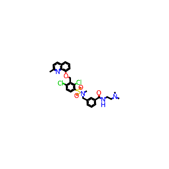 Cc1ccc2cccc(OCc3c(Cl)ccc(S(=O)(=O)N(C)Cc4cccc(C(=O)NCCN(C)C)c4)c3Cl)c2n1